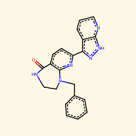 O=C1NCCN(Cc2ccccc2)c2nc(-c3n[nH]c4ncccc34)ccc21